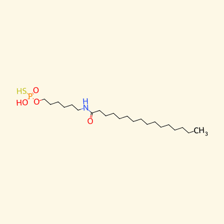 CCCCCCCCCCCCCCCC(=O)NCCCCCCOP(=O)(O)S